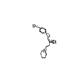 CCC(CCN1CCCCC1)COc1ccc(C(C)C)cc1.Cl